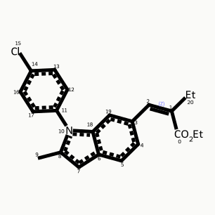 CCOC(=O)/C(=C\c1ccc2cc(C)n(-c3ccc(Cl)cc3)c2c1)CC